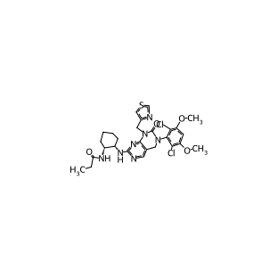 CCC(=O)N[C@H]1CCCC[C@H]1Nc1ncc2c(n1)N(Cc1cscn1)C(=O)N(c1c(Cl)c(OC)cc(OC)c1Cl)C2